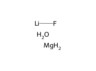 O.[Li][F].[MgH2]